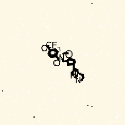 O=C(c1ccc(C(=O)C(F)(F)F)cc1)N1CCOc2ccc(C3=CC4C=CC=NC4N=C3)cc2C1